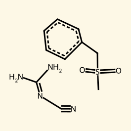 CS(=O)(=O)Cc1ccccc1.N#CN=C(N)N